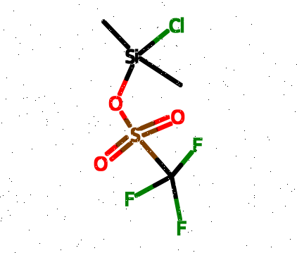 C[Si](C)(Cl)OS(=O)(=O)C(F)(F)F